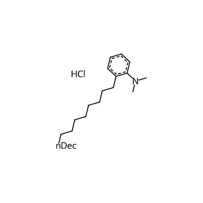 CCCCCCCCCCCCCCCCCCc1ccccc1N(C)C.Cl